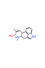 CNC1Cc2c[nH]c3cccc(c23)C1/C=C(/C)CO